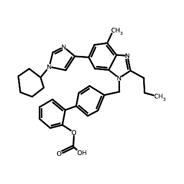 CCCc1nc2c(C)cc(-c3cn(C4CCCCC4)cn3)cc2n1Cc1ccc(-c2ccccc2OC(=O)O)cc1